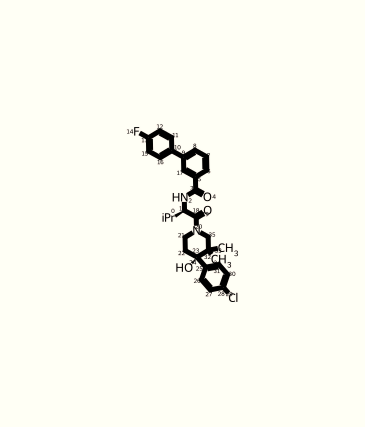 CC(C)[C@@H](NC(=O)c1cccc(-c2ccc(F)cc2)c1)C(=O)N1CC[C@](O)(c2ccc(Cl)cc2)C(C)(C)C1